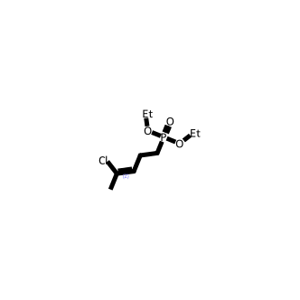 CCOP(=O)(CC/C=C(/C)Cl)OCC